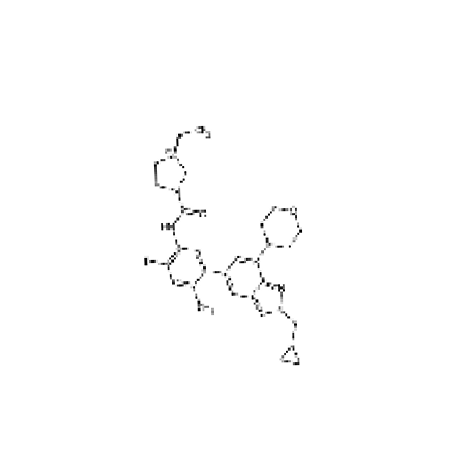 Cc1cc(F)c(NC(=O)N2CC[C@@H](CC(F)(F)F)C2)cc1-c1cc(N2CCOCC2)c2nn(CC3CC3)cc2c1